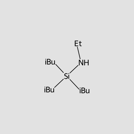 CCN[Si](C(C)CC)(C(C)CC)C(C)CC